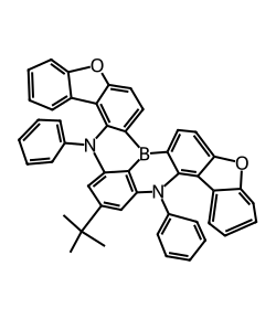 CC(C)(C)c1cc2c3c(c1)N(c1ccccc1)c1c(ccc4oc5ccccc5c14)B3c1ccc3oc4ccccc4c3c1N2c1ccccc1